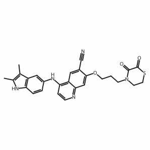 Cc1[nH]c2ccc(Nc3ccnc4cc(OCCCN5CCSC(=O)C5=O)c(C#N)cc34)cc2c1C